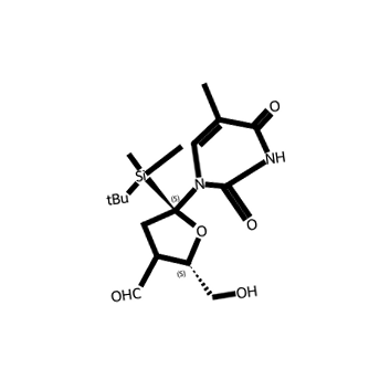 Cc1cn([C@@]2([Si](C)(C)C(C)(C)C)CC(C=O)[C@@H](CO)O2)c(=O)[nH]c1=O